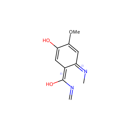 C=N/C(O)=C1/C=C(O)C(OC)=C/C1=N/C